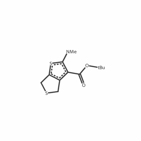 CNc1sc2c(c1C(=O)OC(C)(C)C)CSC2